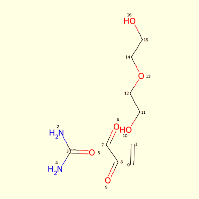 C=C.NC(N)=O.O=CC=O.OCCOCCO